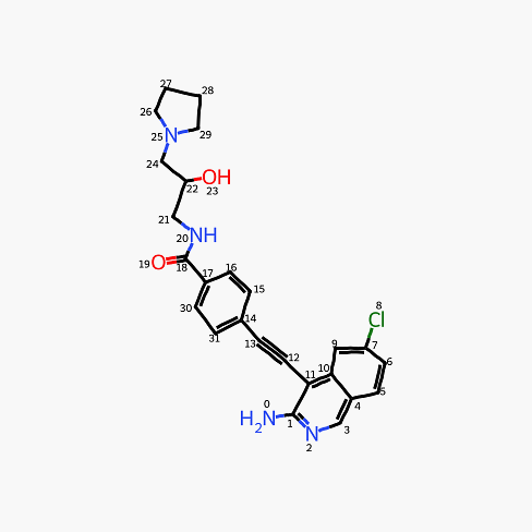 Nc1ncc2ccc(Cl)cc2c1C#Cc1ccc(C(=O)NCC(O)CN2CCCC2)cc1